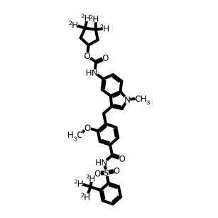 [2H]C([2H])([2H])c1ccccc1S(=O)(=O)NC(=O)c1ccc(Cc2cn(C)c3ccc(NC(=O)OC4CC([2H])([2H])C([2H])([2H])C4)cc23)c(OC)c1